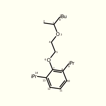 CCC(C)C(C)OCCOc1c(C(C)C)cccc1C(C)C